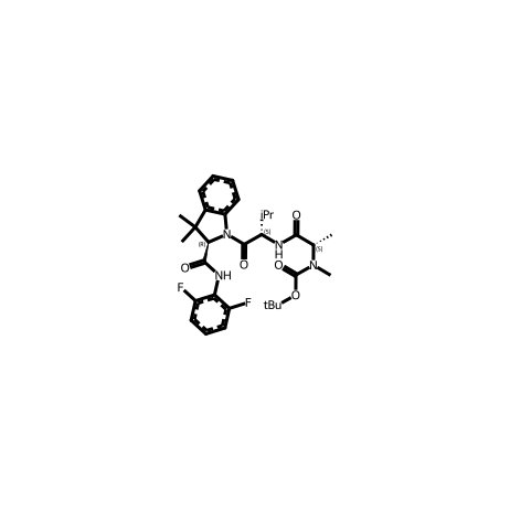 CC(C)[C@H](NC(=O)[C@H](C)N(C)C(=O)OC(C)(C)C)C(=O)N1c2ccccc2C(C)(C)[C@@H]1C(=O)Nc1c(F)cccc1F